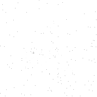 C=CC(=O)N1CCN(c2nc(=O)n3c4c(c(-c5c(F)cc(F)c6sc(=O)[nH]c56)c(C(F)(F)F)cc24)SC[C@@H]3COc2ccncc2)CC1